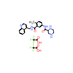 Cc1ccc(NC(=O)C2CNCCN2)cc1C(=O)NCc1ccnc2ccccc12.O=C(O)C(F)(F)F.O=C(O)C(F)(F)F